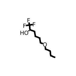 CCCCOCCCC[C@@H](O)C(F)(F)F